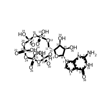 Nc1nc2c(ncn2[C@@H]2O[C@H](COP(=O)(O)OP(=O)(O)OP(=O)(O)OP(=O)(O)OP(=O)(O)O)[C@@H](O)[C@H]2O)c(=O)[nH]1